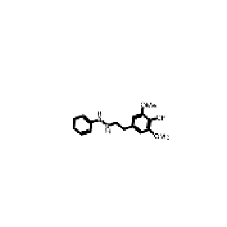 COc1cc(CCBBC2=CCCC=C2)cc(OC)c1O